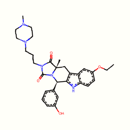 CCOc1ccc2[nH]c3c(c2c1)C[C@@]1(C)C(=O)N(CCCN2CCN(C)CC2)C(=O)N1[C@@H]3c1cccc(O)c1